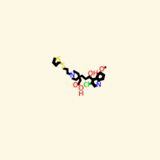 COc1ccc2ncc(Cl)c([C@H](O)CCC3(CC(=O)O)CCN(CCCSc4cccs4)CC3)c2c1